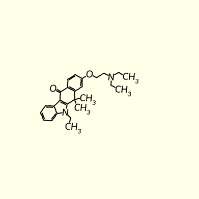 CCN(CC)CCOc1ccc2c(c1)C(C)(C)c1c(c3ccccc3n1CC)C2=O